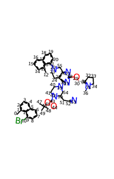 Cc1cccc2cccc(Br)c12.Cc1cccc2cccc(N3CCc4c(nc(OC[C@@H]5CCCN5C)nc4N4CCN(C(=O)OC(C)(C)C)C(CC#N)C4)C3)c12